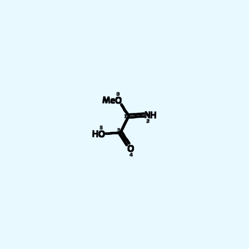 COC(=N)C(=O)O